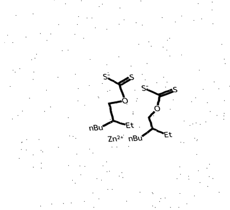 CCCCC(CC)COC(=S)[S-].CCCCC(CC)COC(=S)[S-].[Zn+2]